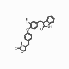 COc1cc(CC2C(=O)Nc3ccccc32)ccc1Oc1ccc(CC2COC(=O)N2C)cc1